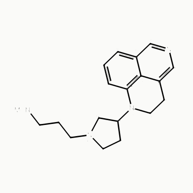 CNCCCN1CCC(N2CCc3cncc4cccc2c34)C1